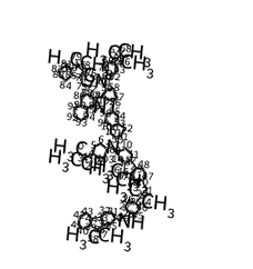 CC(C)(C)c1ccc(N(c2ccc3c(c2)C(C)(C)c2cc(CC(C)(C)c4ccc(Nc5ccc6c(c5)C(C)(C)c5ccccc5-6)cc4)ccc2-3)c2ccc3cc4c5ccc(N(c6ccc(C(C)(C)C)cc6)c6ccc7c(c6)C(C)(C)c6ccccc6-7)c6c7ccc8ccccc8c7n(c4cc3c2)c56)cc1